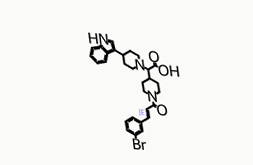 O=C(O)C(C1CCN(C(=O)/C=C/c2cccc(Br)c2)CC1)N1CCC(c2c[nH]c3ccccc23)CC1